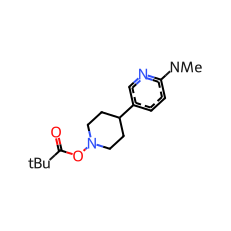 CNc1ccc(C2CCN(OC(=O)C(C)(C)C)CC2)cn1